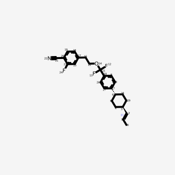 C/C=C/[C@H]1CC[C@H](c2ccc(C(F)(F)OCCc3ccc(C#N)c(F)c3)cc2)CC1